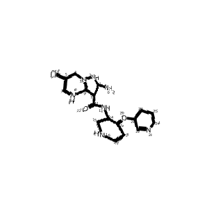 NC1NN2CC(Cl)CNC2C1C(=O)NC1CNCCC1OC1C=NCCC1